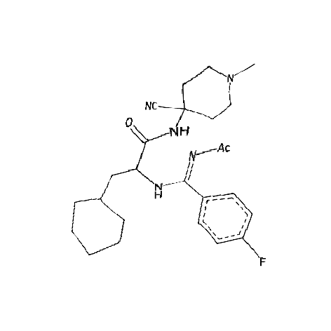 CC(=O)/N=C(/NC(CC1CCCCC1)C(=O)NC1(C#N)CCN(C)CC1)c1ccc(F)cc1